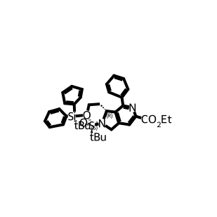 CCOC(=O)c1cc2c(c(-c3ccccc3)n1)[C@@H](CCO[Si](c1ccccc1)(c1ccccc1)C(C)(C)C)N([S@+]([O-])C(C)(C)C)C2